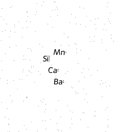 [Ba].[Ca].[Mn].[Si]